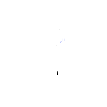 CC[C@H]1CC[C@](N)(C(=O)OC)CC1